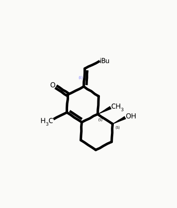 CCC(C)/C=C1\C[C@@]2(C)C(=C(C)C1=O)CCC[C@@H]2O